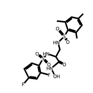 Cc1cc(C)c(S(=O)(=O)NCC(NS(=O)(=O)c2ccc(F)cc2F)C(=O)NO)c(C)c1